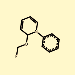 FCOC1C=CC=CN1c1ccccc1